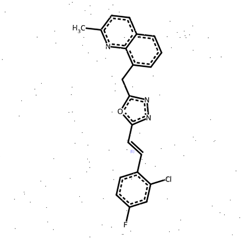 Cc1ccc2cccc(Cc3nnc(/C=C/c4ccc(F)cc4Cl)o3)c2n1